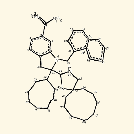 N=C(N)c1ccc2c(c1)N(Cc1cccc3ccccc13)C(C1CCCCCCC1)(C1NCC3(CCCCCCCC3)S1)C2